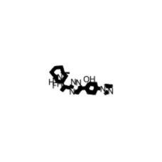 C=C(c1ncc(-c2ccc(-n3ccnc3)cc2O)nn1)[C@@H]1C[C@@]2(C)CCC[C@H](N2)[C@@H]1F